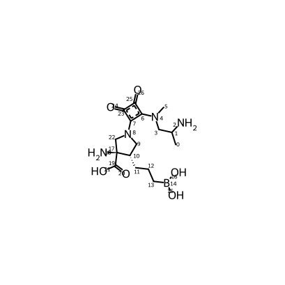 CC(N)CN(C)c1c(N2C[C@H](CCCB(O)O)[C@](N)(C(=O)O)C2)c(=O)c1=O